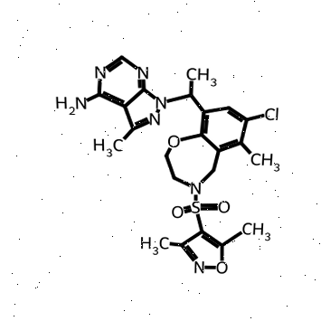 Cc1noc(C)c1S(=O)(=O)N1CCOc2c(C(C)n3nc(C)c4c(N)ncnc43)cc(Cl)c(C)c2C1